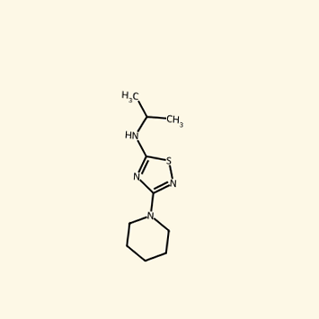 CC(C)Nc1nc(N2CCCCC2)ns1